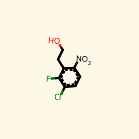 O=[N+]([O-])c1ccc(Cl)c(F)c1CCO